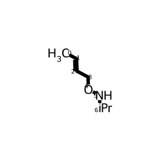 C/C=C/CONC(C)C